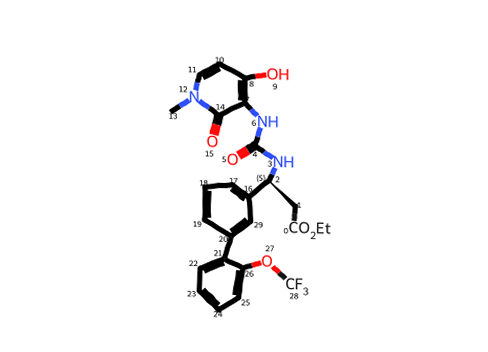 CCOC(=O)C[C@H](NC(=O)Nc1c(O)ccn(C)c1=O)c1cccc(-c2ccccc2OC(F)(F)F)c1